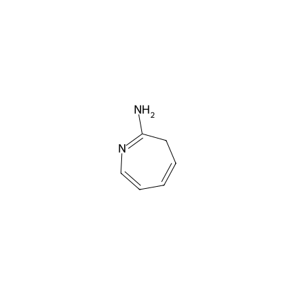 NC1=NC=CC=CC1